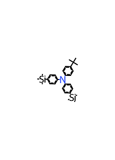 CC(C)(C)c1ccc(N(c2ccc([Si](C)(C)C)cc2)c2ccc([Si](C)(C)C)cc2)cc1